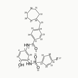 O=C(Nc1ccc(O)c(NS(=O)(=O)c2ccc(F)cc2)c1)c1ccc(CC2CCCCCC2)cc1